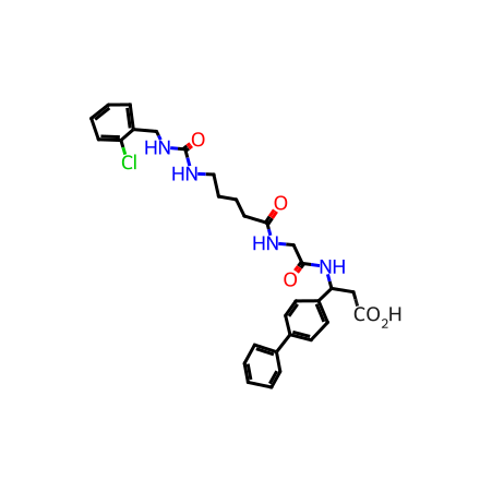 O=C(O)CC(NC(=O)CNC(=O)CCCCNC(=O)NCc1ccccc1Cl)c1ccc(-c2ccccc2)cc1